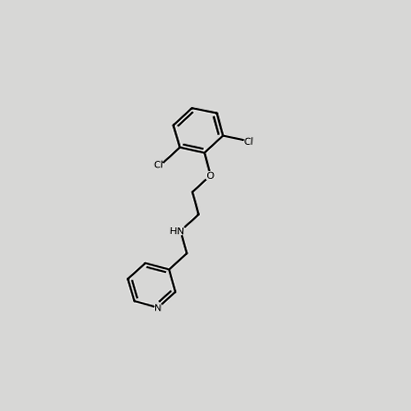 Clc1cccc(Cl)c1OCCNCc1cccnc1